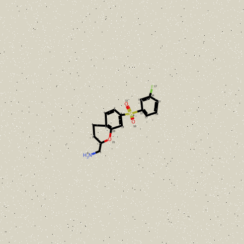 NCC1CCc2ccc(S(=O)(=O)c3cccc(F)c3)cc2O1